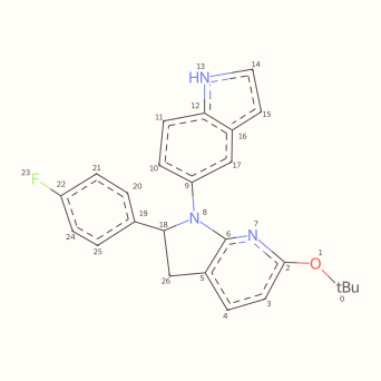 CC(C)(C)Oc1ccc2c(n1)N(c1ccc3[nH]ccc3c1)C(c1ccc(F)cc1)C2